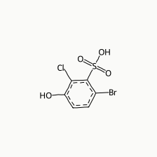 O=S(=O)(O)c1c(Br)ccc(O)c1Cl